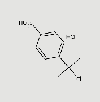 CC(C)(Cl)c1ccc(S(=O)(=O)O)cc1.Cl